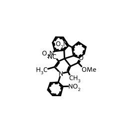 COC(=O)C1=C(C)N(c2ccccc2[N+](=O)[O-])C(C)=C(C#N)C1(c1ccccc1[N+](=O)[O-])c1ccccc1[N+](=O)[O-]